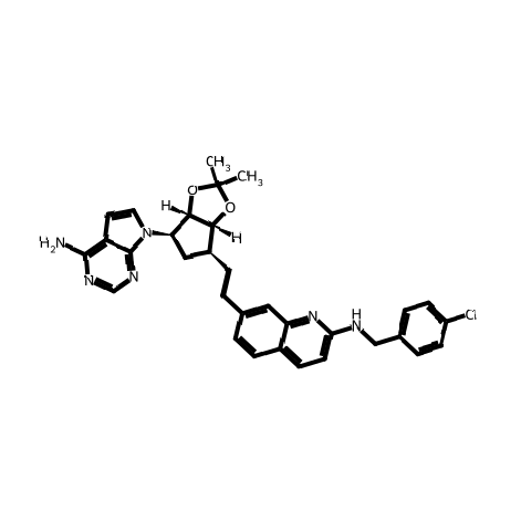 CC1(C)O[C@@H]2[C@@H](CCc3ccc4ccc(NCc5ccc(Cl)cc5)nc4c3)C[C@@H](n3ccc4c(N)ncnc43)[C@@H]2O1